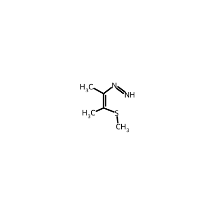 CS/C(C)=C(/C)N=N